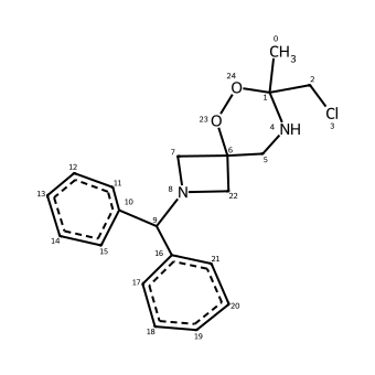 CC1(CCl)NCC2(CN(C(c3ccccc3)c3ccccc3)C2)OO1